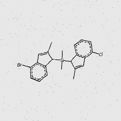 CC1=Cc2c(Cl)cccc2C1[Si](C)(C)C1C(C)=Cc2c(Br)cccc21